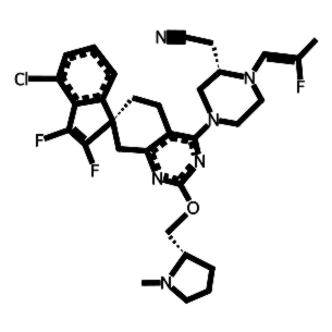 CC(F)=CN1CCN(c2nc(OC[C@@H]3CCCN3C)nc3c2CC[C@]2(C3)C(F)=C(F)c3c(Cl)cccc32)C[C@@H]1CC#N